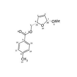 CO[C@H]1C=C[C@@H](COC(=O)c2ccc(C)cc2)O1